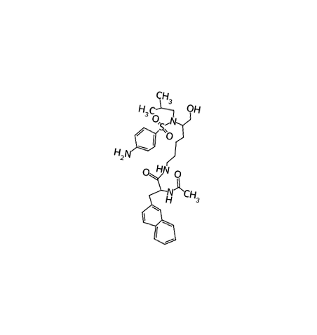 CC(=O)NC(Cc1ccc2ccccc2c1)C(=O)NCCCCC(CO)N(CC(C)C)S(=O)(=O)c1ccc(N)cc1